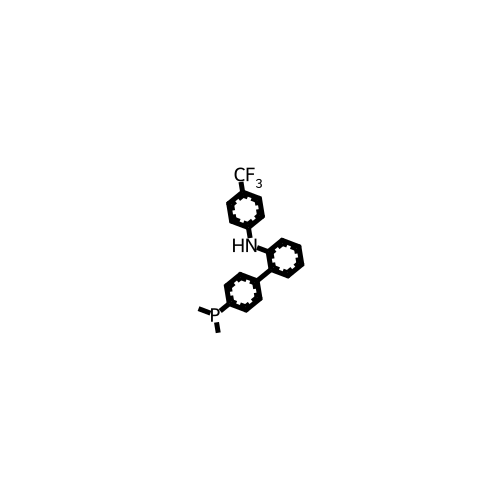 CP(C)c1ccc(-c2ccccc2Nc2ccc(C(F)(F)F)cc2)cc1